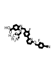 CO[C@H](CN)Cn1c(Cc2ccc(-c3cccc(OCc4ccc(C#N)cc4F)n3)cc2F)nc2ccc(C(=O)O)cc21